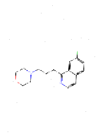 Clc1ccc2ccnc(CCCN3CCOCC3)c2c1